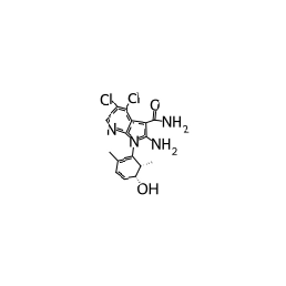 CC1=C(n2c(N)c(C(N)=O)c3c(Cl)c(Cl)cnc32)[C@H](C)[C@H](O)C=C1